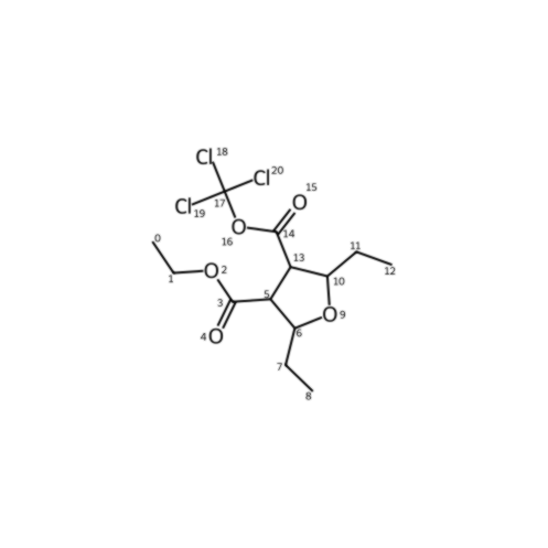 CCOC(=O)C1C(CC)OC(CC)C1C(=O)OC(Cl)(Cl)Cl